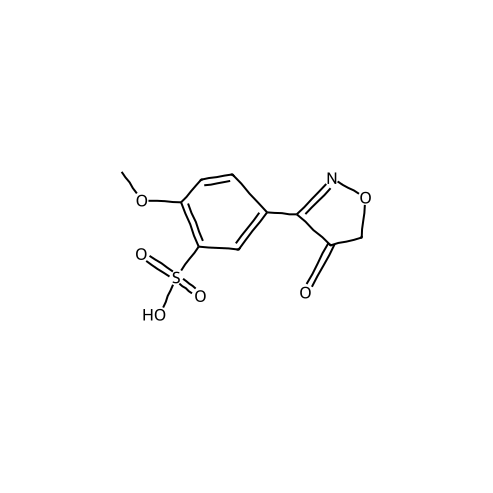 COc1ccc(C2=NOCC2=O)cc1S(=O)(=O)O